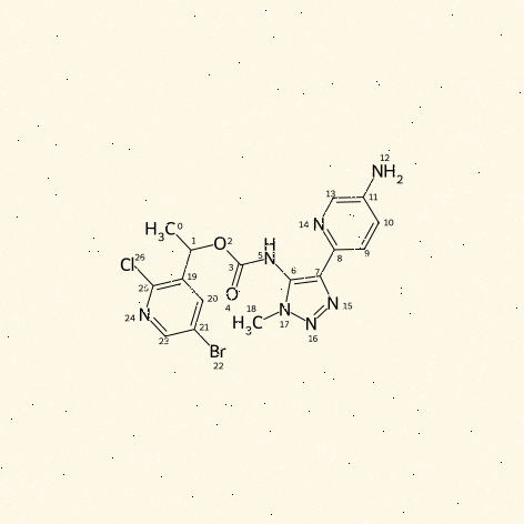 CC(OC(=O)Nc1c(-c2ccc(N)cn2)nnn1C)c1cc(Br)cnc1Cl